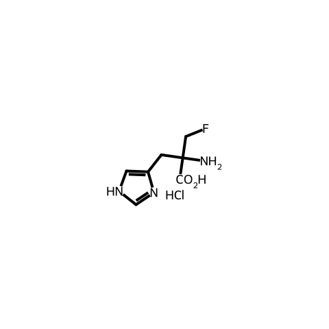 Cl.NC(CF)(Cc1c[nH]cn1)C(=O)O